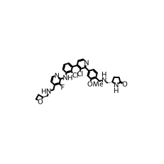 COc1cc(-c2nccc(-c3cccc(Nc4nccc(CNC[C@@H]5CCO5)c4F)c3Cl)c2Cl)ccc1CNC[C@@H]1CCC(=O)N1